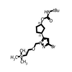 CC(C)(C)NC(=O)O[C@@H]1CC[C@H](c2cc(Br)nn2COCC[Si](C)(C)C)C1